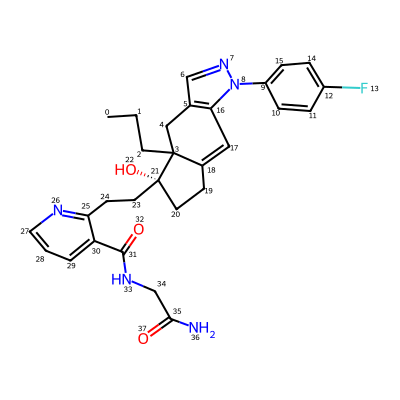 CCCC12Cc3cnn(-c4ccc(F)cc4)c3C=C1CC[C@@]2(O)CCc1ncccc1C(=O)NCC(N)=O